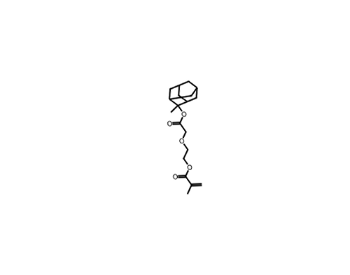 C=C(C)C(=O)OCCOCC(=O)OC1(C)C2CC3CC(C2)CC1C3